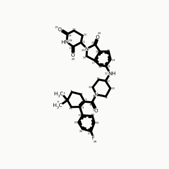 CC1(C)CCC(C(=O)N2CCC(Nc3ccc4c(c3)CN(C3CCC(=O)NC3=O)C4=O)CC2)=C(c2ccc(F)cc2)C1